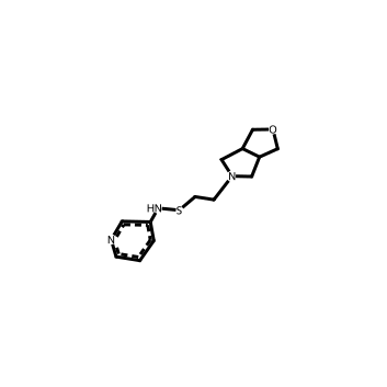 c1cncc(NSCCN2CC3COCC3C2)c1